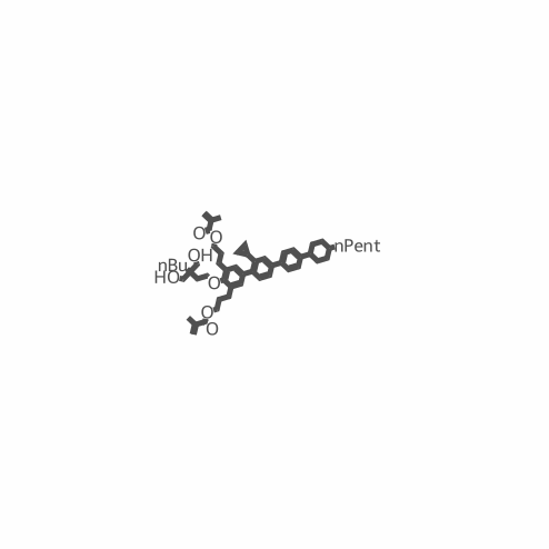 C=C(C)C(=O)OCCCc1cc(-c2ccc(-c3ccc(C4CCC(CCCCC)CC4)cc3)cc2C2CC2)cc(CCCOC(=O)C(=C)C)c1OCCC(CO)(CO)CCCC